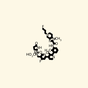 COc1nc(-c2ccnc(-c3cccc(NC(=O)c4nc5c(n4C)CCN(CCCF)C5)c3C)c2Cl)cc(F)c1CN(C[C@@H]1CCC(=O)N1)C(=O)O